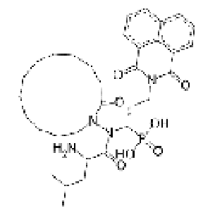 CC(C)CC(N)C(=O)N([C@H](CCN1C(=O)c2cccc3cccc(c23)C1=O)P(=O)(O)O)N1CCCCCCCCCCCC1=O